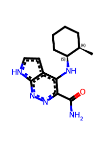 C[C@@H]1CCCC[C@@H]1Nc1c(C(N)=O)nnc2[nH]ccc12